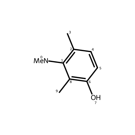 CNc1c(C)ccc(O)c1C